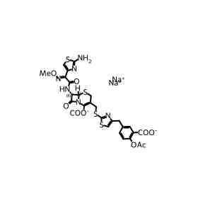 CON=C(C(=O)N[C@@H]1C(=O)N2C(C(=O)[O-])=C(CSc3nc(Cc4ccc(OC(C)=O)c(C(=O)[O-])c4)cs3)CS[C@@H]12)c1csc(N)n1.[Na+].[Na+]